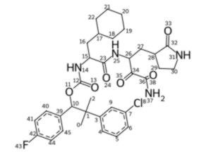 CC(C)(c1cccc(Cl)c1)C(OC(=O)NC(CC1CCCCC1)C(=O)NC(CC1CCNC1=O)C(=O)C(N)=O)c1ccc(F)cc1